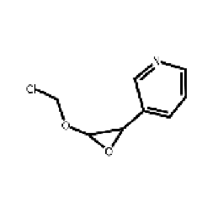 ClCOC1OC1c1cccnc1